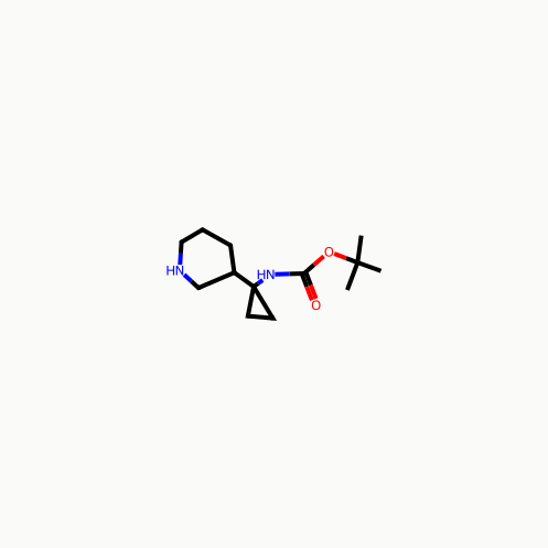 CC(C)(C)OC(=O)NC1(C2CCCNC2)CC1